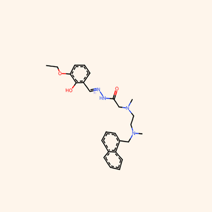 CCOc1cccc(/C=N/NC(=O)CN(C)CCN(C)Cc2cccc3ccccc23)c1O